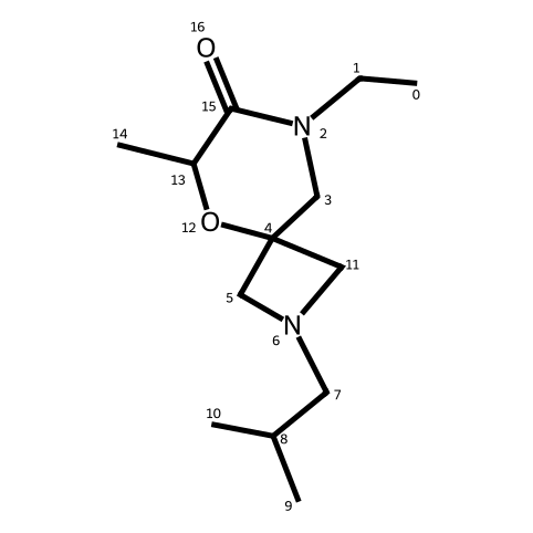 CCN1CC2(CN(CC(C)C)C2)OC(C)C1=O